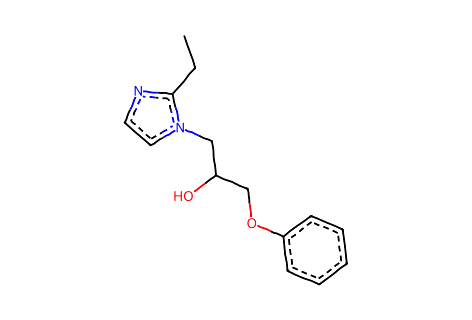 CCc1nccn1CC(O)COc1ccccc1